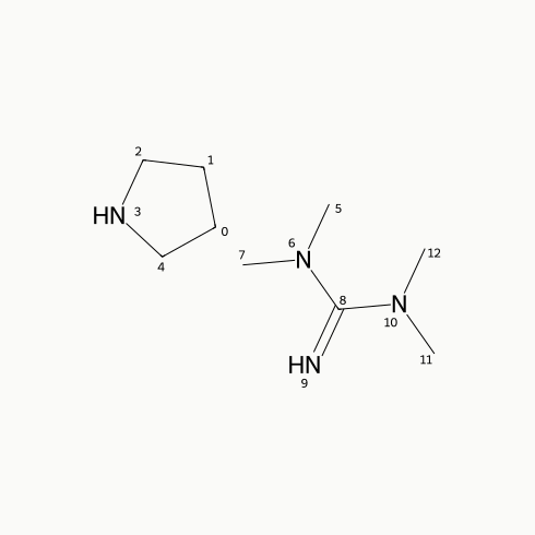 C1CCNC1.CN(C)C(=N)N(C)C